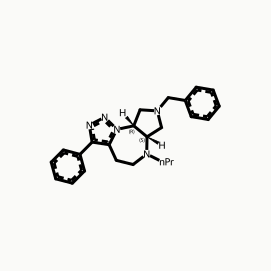 CCCN1CCc2c(-c3ccccc3)nnn2[C@@H]2CN(Cc3ccccc3)C[C@@H]21